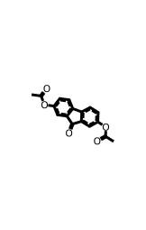 CC(=O)Oc1ccc2c(c1)C(=O)c1cc(OC(C)=O)ccc1-2